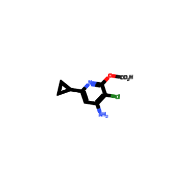 Nc1cc(C2CC2)nc(OC(=O)O)c1Cl